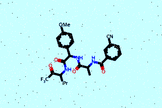 COc1ccc(C(NC(=O)C(C)NC(=O)c2cccc(C#N)c2)C(=O)NC(C(=O)C(F)(F)F)C(C)C)cc1